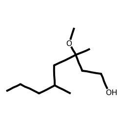 CCCC(C)CC(C)(CCO)OC